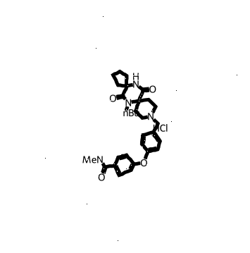 CCCCN1C(=O)C2(CCCC2)NC(=O)C12CCN(Cc1ccc(Oc3ccc(C(=O)NC)cc3)cc1)CC2.Cl